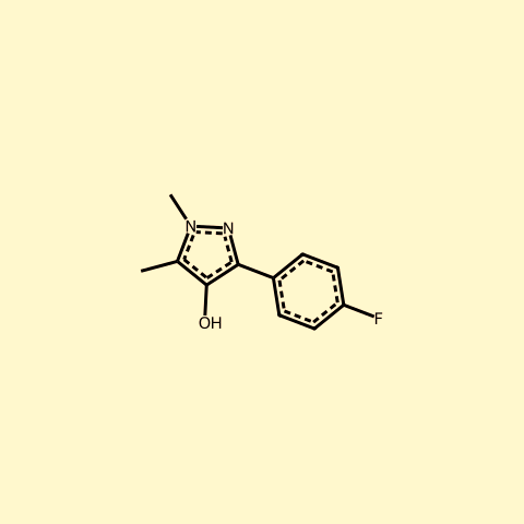 Cc1c(O)c(-c2ccc(F)cc2)nn1C